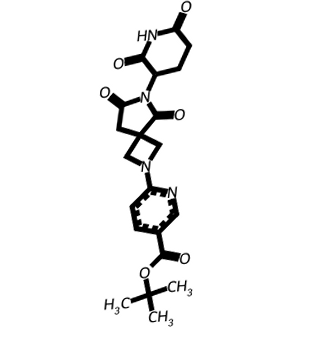 CC(C)(C)OC(=O)c1ccc(N2CC3(CC(=O)N(C4CCC(=O)NC4=O)C3=O)C2)nc1